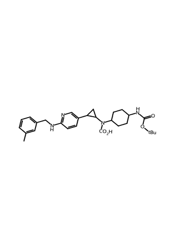 Cc1cccc(CNc2ccc(C3CC3N(C(=O)O)C3CCC(NC(=O)OC(C)(C)C)CC3)cn2)c1